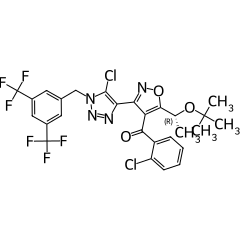 C[C@@H](OC(C)(C)C)c1onc(-c2nnn(Cc3cc(C(F)(F)F)cc(C(F)(F)F)c3)c2Cl)c1C(=O)c1ccccc1Cl